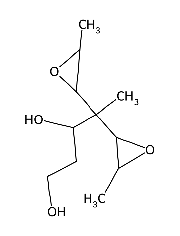 CC1OC1C(C)(C(O)CCO)C1OC1C